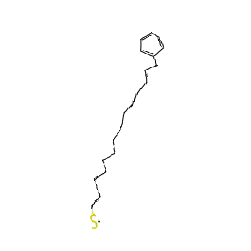 [S]CCCCCCCCCCCCCCc1ccccc1